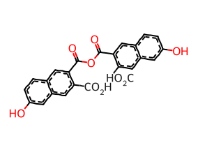 O=C(O)c1cc2cc(O)ccc2cc1C(=O)OC(=O)c1cc2ccc(O)cc2cc1C(=O)O